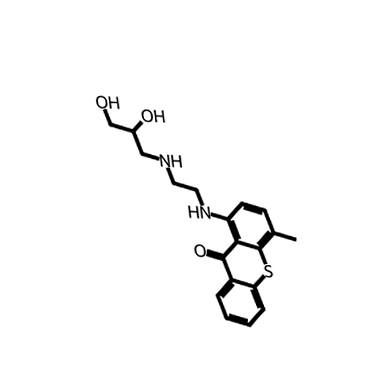 Cc1ccc(NCCNCC(O)CO)c2c(=O)c3ccccc3sc12